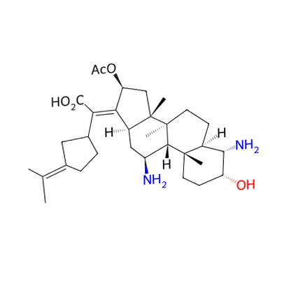 CC(=O)O[C@H]1C[C@@]2(C)[C@@H](C[C@H](N)[C@H]3[C@@]4(C)CC[C@@H](O)[C@@H](N)[C@@H]4CC[C@@]32C)/C1=C(/C(=O)O)C1CCC(=C(C)C)C1